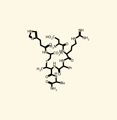 CCC(C)C(NC(=O)C(NC(=O)C(NC(=O)C(CCCNC(=N)N)NC(=O)C(N)CC(=O)O)C(C)C)C(C)SCC(NC(=O)CCc1c[nH]cn1)C(=O)O)C(N)=O